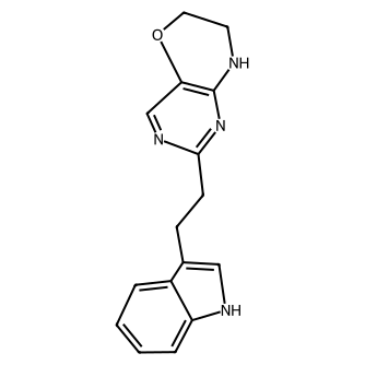 c1ccc2c(CCc3ncc4c(n3)NCCO4)c[nH]c2c1